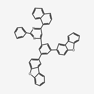 c1ccc(-c2nc(-c3cc(-c4ccc5oc6ccccc6c5c4)cc(-c4ccc5oc6ccccc6c5c4)c3)cc(-c3cccc4ccccc34)n2)cc1